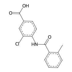 Cc1ccccc1C(=O)Nc1ccc(C(=O)O)cc1Cl